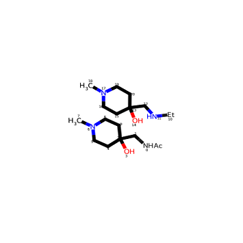 CC(=O)NCC1(O)CCN(C)CC1.CCNCC1(O)CCN(C)CC1